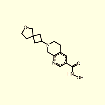 O=C(NO)c1cnc2c(c1)CCN(C1CC3(CCOC3)C1)C2